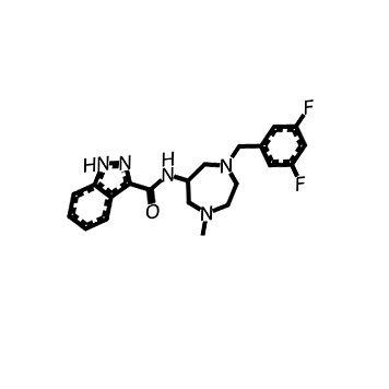 CN1CCN(Cc2cc(F)cc(F)c2)CC(NC(=O)c2n[nH]c3ccccc23)C1